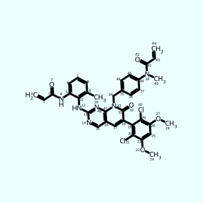 C=CC(=O)Nc1cccc(C)c1Nc1ncc2cc(-c3c(Cl)c(OC)cc(OC)c3Cl)c(=O)n(Cc3ccc(N(C)C(=O)C=C)cc3)c2n1